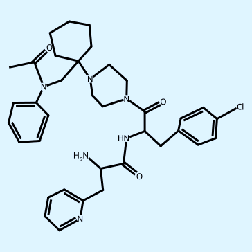 CC(=O)N(CC1(N2CCN(C(=O)C(Cc3ccc(Cl)cc3)NC(=O)C(N)Cc3ccccn3)CC2)CCCCC1)c1ccccc1